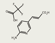 Nc1ccc(C=CC(=O)O)cn1.O=C(O)C(F)(F)F